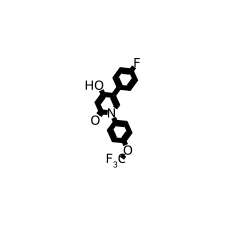 O=c1cc(O)c(-c2ccc(F)cc2)cn1-c1ccc(OC(F)(F)F)cc1